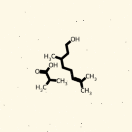 CC(C)=CCCC(C)CCO.CC(C)C(=O)O